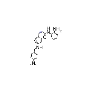 CN(C)c1ccc(CNc2ccc(/C=C\C(=O)Nc3ccccc3N)cn2)cc1